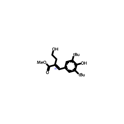 COC(=O)/C(=C/c1cc(C(C)(C)C)c(O)c(C(C)(C)C)c1)CCO